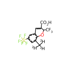 [2H]C([2H])([2H])c1cc(S(F)(F)(F)(F)F)cc2c1OC(C(F)(F)F)C(C(=O)O)=C2